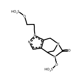 O=C1N2Cc3c(cnn3CCOS(=O)(=O)O)C(C2)N1OS(=O)(=O)O